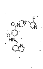 COc1cc(C(=O)N2CCN(Cc3ccncc3F)CC2)ccc1NSc1cccc2cccnc12